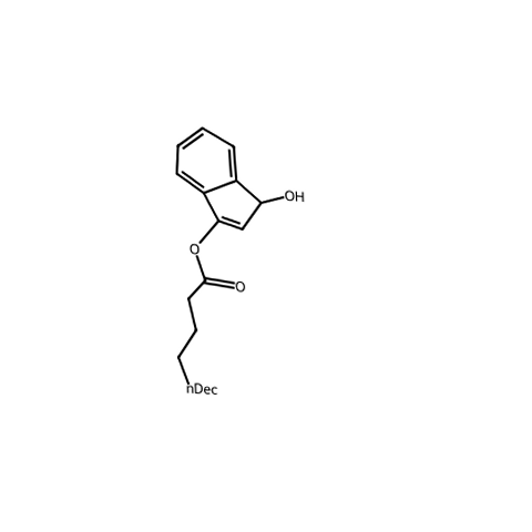 CCCCCCCCCCCCCC(=O)OC1=CC(O)c2ccccc21